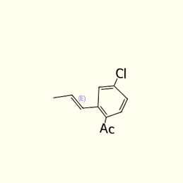 C/C=C/c1cc(Cl)ccc1C(C)=O